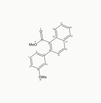 COC(=O)c1c(-c2cccc(OC)c2)ccc2ccccc12